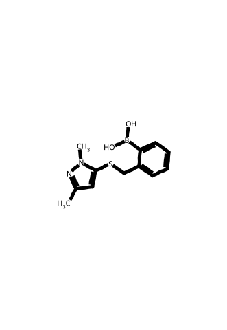 Cc1cc(SCc2ccccc2B(O)O)n(C)n1